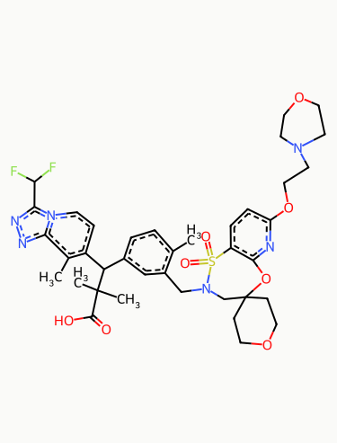 Cc1ccc(C(c2ccn3c(C(F)F)nnc3c2C)C(C)(C)C(=O)O)cc1CN1CC2(CCOCC2)Oc2nc(OCCN3CCOCC3)ccc2S1(=O)=O